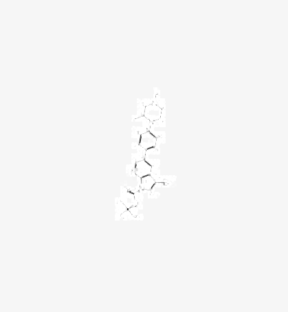 CC1CN(C)CCN1c1ccc(-c2cnc3c(c2)c(Br)cn3C(=O)OC(C)(C)C)cc1